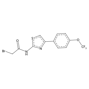 O=C(CBr)Nc1nc(-c2ccc(OC(F)(F)F)cc2)cs1